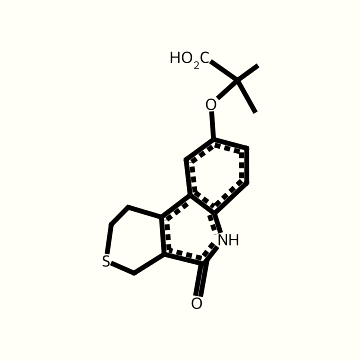 CC(C)(Oc1ccc2[nH]c(=O)c3c(c2c1)CCSC3)C(=O)O